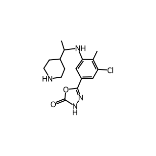 Cc1c(Cl)cc(-c2n[nH]c(=O)o2)cc1NC(C)C1CCNCC1